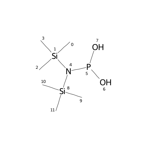 C[Si](C)(C)N(P(O)O)[Si](C)(C)C